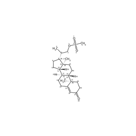 CC(COS(C)(=O)=O)[C@H]1CC[C@H]2[C@@H]3CCC4=CC(=O)CC[C@]4(C)[C@H]3CC[C@]12C